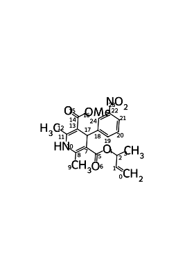 C=CC(C)OC(=O)C1=C(C)NC(C)=C(C(=O)OC)C1c1cccc([N+](=O)[O-])c1